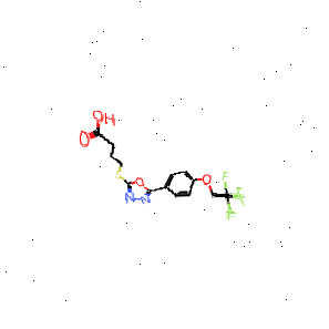 O=C(O)CCCSc1nnc(-c2ccc(OCC(F)(F)F)cc2)o1